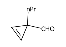 CCCC1(C=O)C=C1